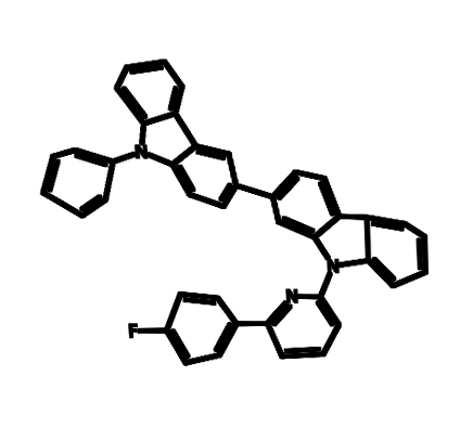 Fc1ccc(-c2cccc(-n3c4ccccc4c4ccc(-c5ccc6c(c5)c5ccccc5n6-c5ccccc5)cc43)n2)cc1